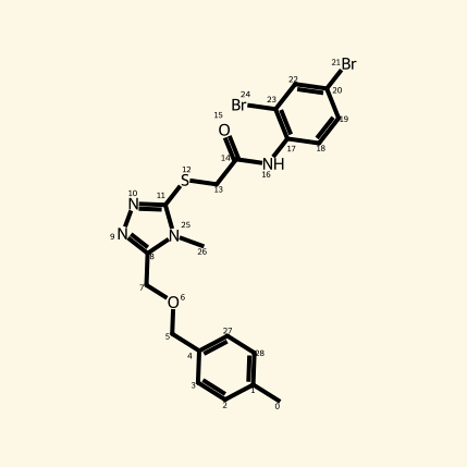 Cc1ccc(COCc2nnc(SCC(=O)Nc3ccc(Br)cc3Br)n2C)cc1